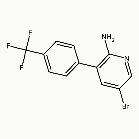 Nc1ncc(Br)cc1-c1ccc(C(F)(F)F)cc1